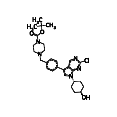 CC(C)(C)OC(=O)N1CCN(Cc2ccc(-c3cn([C@H]4CC[C@H](O)CC4)c4nc(Cl)ncc34)cc2)CC1